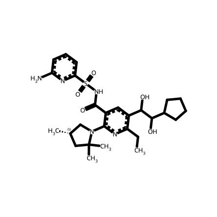 CCc1nc(N2C[C@@H](C)CC2(C)C)c(C(=O)NS(=O)(=O)c2cccc(N)n2)cc1C(O)C(O)C1CCCC1